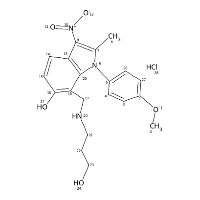 COc1ccc(-n2c(C)c([N+](=O)[O-])c3ccc(O)c(CNCCCO)c32)cc1.Cl